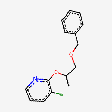 CC(COCc1ccccc1)Oc1ncccc1Br